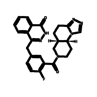 O=C(c1cc(Cc2n[nH]c(=O)c3ccccc23)ccc1F)N1CC[C@H]2[C@H](CCc3nncn32)C1